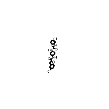 O=C(NC1CCC(NC(=O)C2Cc3cc(Cl)ccc3O2)CC1)c1nc2cc(Cl)ccc2s1